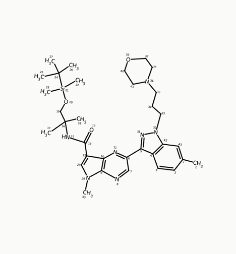 Cc1ccc2c(-c3cnc4c(n3)c(C(=O)NC(C)(C)CO[Si](C)(C)C(C)(C)C)cn4C)nn(CCCN3CCOCC3)c2c1